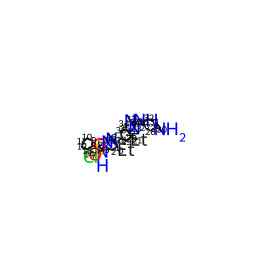 CCc1cc(NS(=O)(=O)c2ccccc2Cl)nnc1-c1cc(CC)c2nc(NC3CCC(N)CC3)ncc2c1